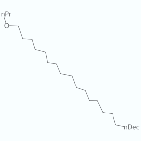 [CH2]CCCCCCCCCCCCCCCCCCCCCCCCCOCCC